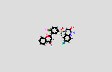 O=C1CN(S(=O)(=O)c2ccc(Cl)c(-c3cc(=O)c4ccccc4o3)c2)c2cc(F)ccc2N1